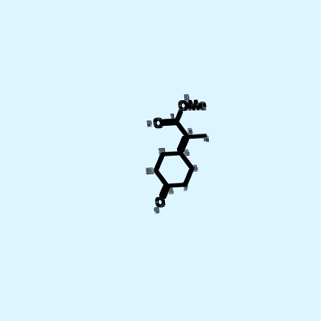 COC(=O)C(C)=C1CCC(=O)CC1